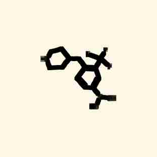 ON(O)c1ccc(CC2CCNCC2)c(C(F)(F)F)c1